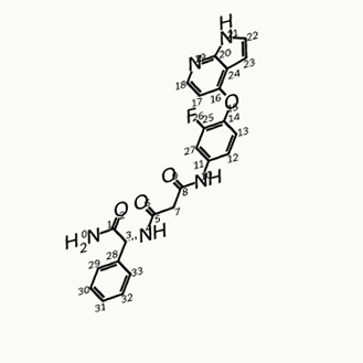 NC(=O)[C@H](NC(=O)CC(=O)Nc1ccc(Oc2ccnc3[nH]ccc23)c(F)c1)c1ccccc1